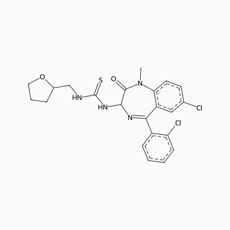 CN1C(=O)C(NC(=S)NCC2CCCO2)N=C(c2ccccc2Cl)c2cc(Cl)ccc21